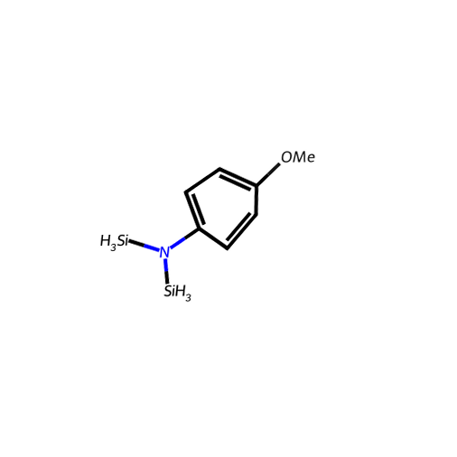 COc1ccc(N([SiH3])[SiH3])cc1